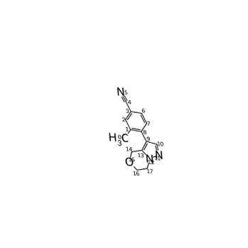 Cc1cc(C#N)ccc1-c1cnn2c1COCC2